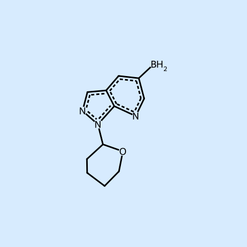 Bc1cnc2c(cnn2C2CCCCO2)c1